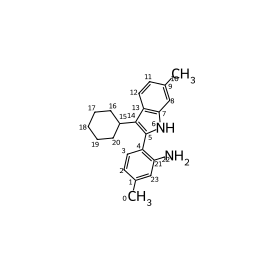 Cc1ccc(-c2[nH]c3cc(C)ccc3c2C2CCCCC2)c(N)c1